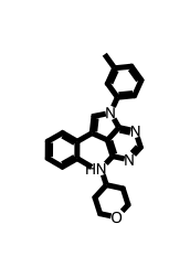 Cc1cccc(-n2cc(-c3ccccc3C)c3c(NC4CCOCC4)ncnc32)c1